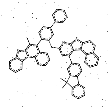 Cc1c(-c2ccc(-c3cccnc3)cc2Cc2nc(-c3ccc4c(c3)C(C)(C)c3ccccc3-4)c3c(n2)sc2ccc4ccccc4c23)c2ccccc2c2c1sc1ccccc12